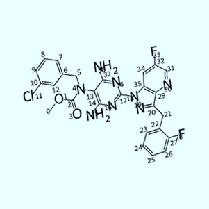 COC(=O)N(Cc1cccc(Cl)c1)c1c(N)nc(-n2nc(Cc3ccccc3F)c3ncc(F)cc32)nc1N